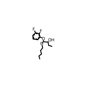 CCCCCO[C@@H](Oc1cccc(F)c1F)C(O)CC